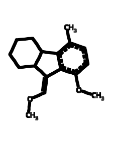 COC=C1c2c(OC)ccc(C)c2C2CCCCC12